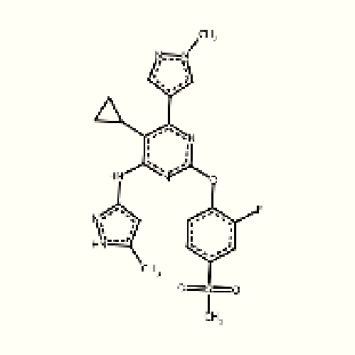 Cc1cc(Nc2nc(Oc3ccc(S(C)(=O)=O)cc3F)nc(-c3cnn(C)c3)c2C2CC2)n[nH]1